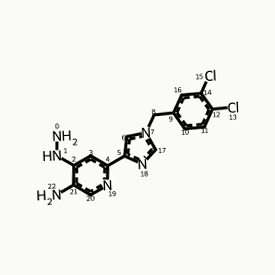 NNc1cc(-c2cn(Cc3ccc(Cl)c(Cl)c3)cn2)ncc1N